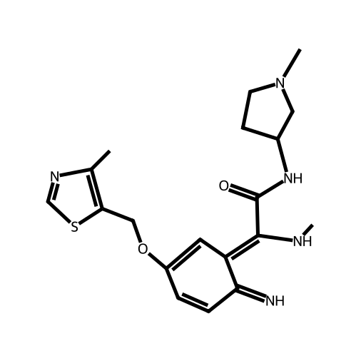 CN/C(C(=O)NC1CCN(C)C1)=C1/C=C(OCc2scnc2C)C=CC1=N